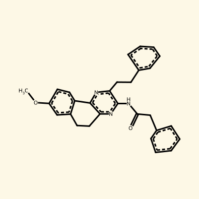 COc1ccc2c(c1)CCc1nc(NC(=O)Cc3ccccc3)c(CCc3ccccc3)nc1-2